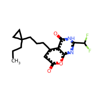 CCCC1(CCCc2cc(=O)oc3nc(C(F)F)[nH]c(=O)c23)CC1